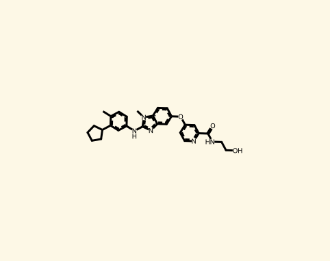 Cc1ccc(Nc2nc3cc(Oc4ccnc(C(=O)NCCO)c4)ccc3n2C)cc1C1CCCC1